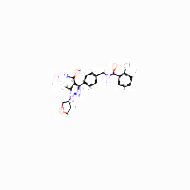 Cc1ccccc1C(=O)NCc1ccc(-c2nn(C3CCOC3)c(C)c2C(N)=O)cc1